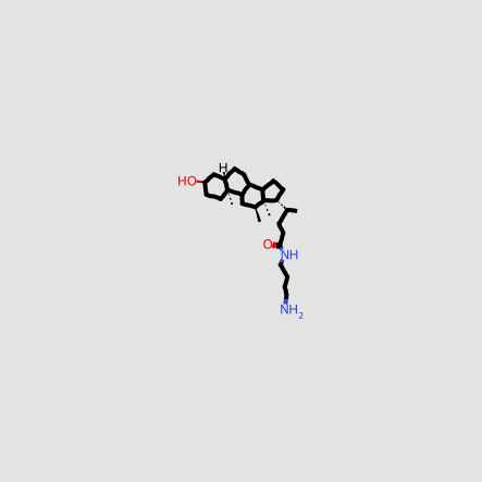 CC(CCC(=O)NCCCCN)[C@H]1CCC2C3CC[C@@H]4C[C@H](O)CC[C@]4(C)C3C[C@H](C)[C@@]21C